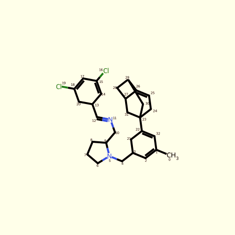 CC1=CC(CN2CCCC2C/N=C/C2C=C(Cl)C=C(Cl)C2)CC(C23CC=C4C(CC4C2)C3)=C1